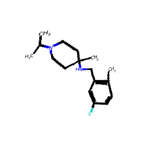 Cc1ccc(F)cc1CNC1(C)CCN(C(C)C)CC1